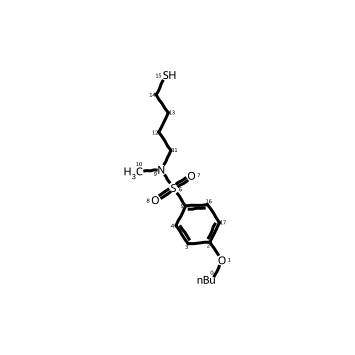 CCCCOc1ccc(S(=O)(=O)N(C)CCCCS)cc1